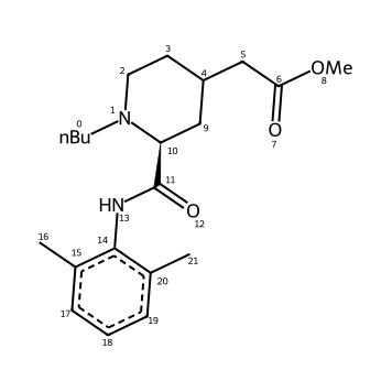 CCCCN1CCC(CC(=O)OC)C[C@H]1C(=O)Nc1c(C)cccc1C